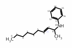 CCCCCC/C=C/C(C)Nc1ccccc1